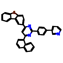 c1cncc(-c2ccc(-c3nc(-c4ccc5sc6ccccc6c5c4)cc(-c4cccc5ccccc45)n3)cc2)c1